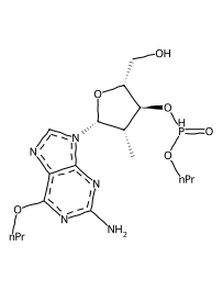 CCCOc1nc(N)nc2c1ncn2[C@@H]1O[C@H](CO)[C@@H](O[PH](=O)OCCC)[C@@H]1C